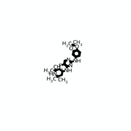 CC1(C)CC(Nc2nc(Nc3ccc4c(c3)OC(C)(C)O4)ncc2F)CC(C)(C)N1